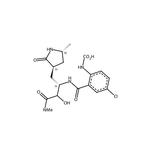 CNC(=O)C(O)[C@H](C[C@@H]1C[C@@H](C)NC1=O)NC(=O)c1cc(Cl)ccc1NC(=O)O